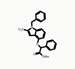 COC(=O)C(Oc1cccc2c1cc(C)n2Cc1ccccc1)c1ccccc1